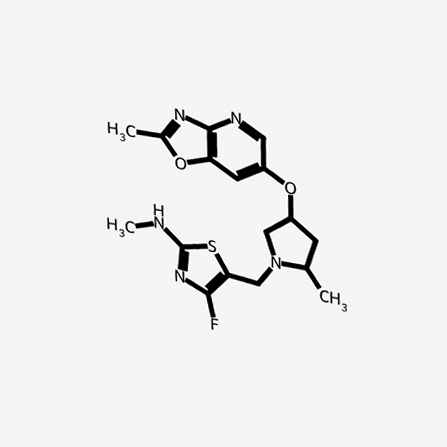 CNc1nc(F)c(CN2CC(Oc3cnc4nc(C)oc4c3)CC2C)s1